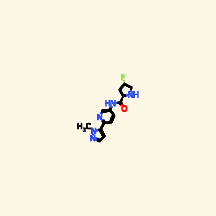 Cn1nccc1-c1ccc(NC(=O)[C@H]2C[C@H](F)CN2)cn1